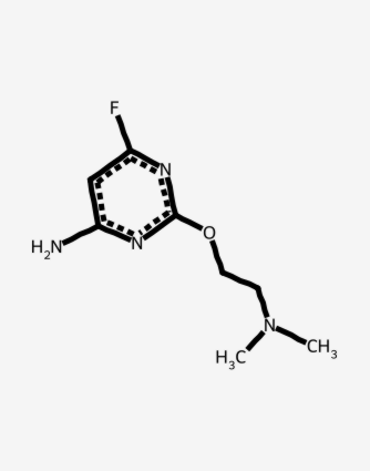 CN(C)CCOc1nc(N)cc(F)n1